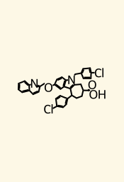 O=C(O)C1CCC(c2ccc(Cl)cc2)c2c(n(Cc3ccc(Cl)cc3)c3ccc(OCc4ccc5ccccc5n4)cc23)C1